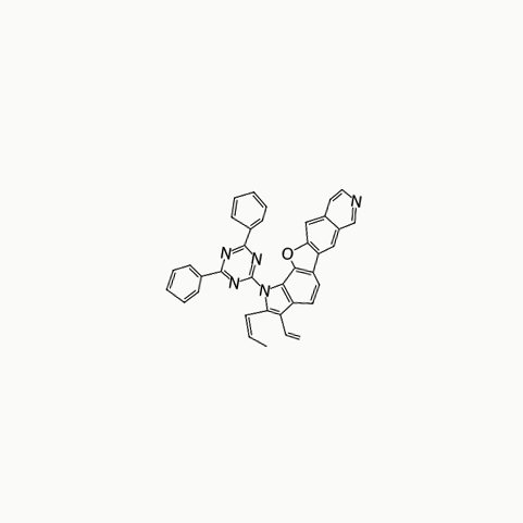 C=Cc1c(/C=C\C)n(-c2nc(-c3ccccc3)nc(-c3ccccc3)n2)c2c1ccc1c3cc4cnccc4cc3oc12